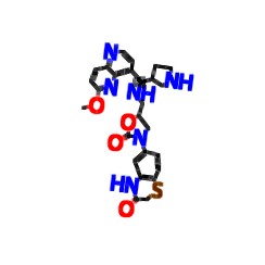 COc1ccc2nccc([C@@H](NCC3CN(c4ccc5c(c4)NC(=O)CS5)C(=O)O3)C3CCNC3)c2n1